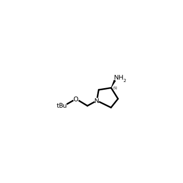 CC(C)(C)OCN1CC[C@H](N)C1